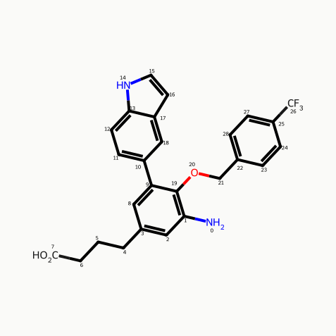 Nc1cc(CCCC(=O)O)cc(-c2ccc3[nH]ccc3c2)c1OCc1ccc(C(F)(F)F)cc1